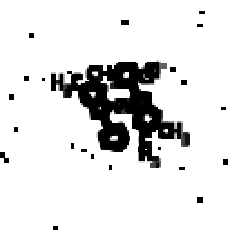 Cc1cc2c(cc1C)[CH]([Zr+2][CH]1C(c3ccccc3)=Cc3cc(C)c(C)cc31)C(c1ccccc1)=C2.[Cl-].[Cl-]